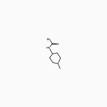 CCC(C)C(=O)NC1CCN(C)CC1